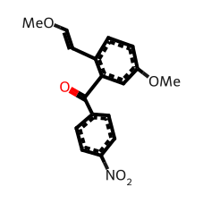 COC=Cc1ccc(OC)cc1C(=O)c1ccc([N+](=O)[O-])cc1